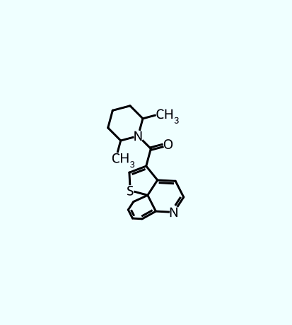 CC1CCCC(C)N1C(=O)C1=CSC23CC=CC=C2N=CC=C13